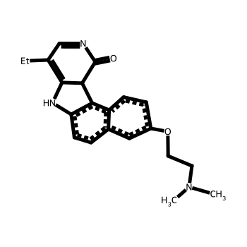 CCC1=C2Nc3ccc4cc(OCCN(C)C)ccc4c3C2C(=O)N=C1